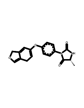 C[C@H]1NC(=O)N(c2ccc(OC3=CCC4=COCC4=C3)cc2)C1=O